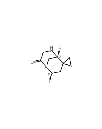 O=C1CN[C@H]2CN1[C@H](I)CC21CC1